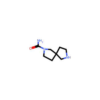 NC(=O)N1CCC2(CCNC2)C1